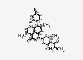 C=CC(=O)N1[C@H](C)CN(c2nc(=O)n3c4c(c(-c5ccc(F)cc5F)c(C)cc24)SC[C@@H]3C)C[C@@H]1C